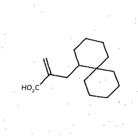 C=C(CC1CCCCC12CCCCC2)C(=O)O